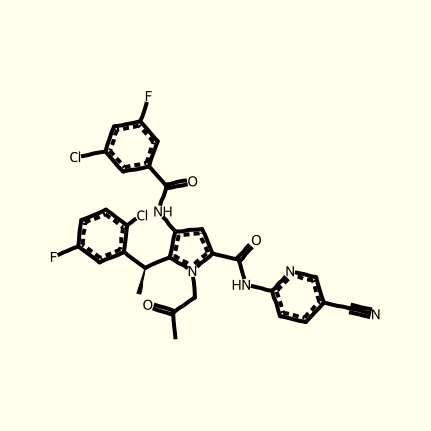 CC(=O)Cn1c(C(=O)Nc2ccc(C#N)cn2)cc(NC(=O)c2cc(F)cc(Cl)c2)c1[C@@H](C)c1cc(F)ccc1Cl